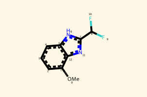 [CH2]Oc1cccc2[nH]c(C(F)F)nc12